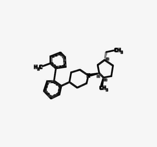 CC[C@@H]1CC[C@@H](C)[C@@H](N2CCC(c3ccccc3-c3ccccc3C)CC2)C1